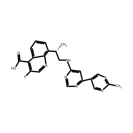 Cc1ncc(-c2cc(NC[C@@H](C)c3cccc4c(C(=O)O)c(F)cnc34)ncn2)cn1